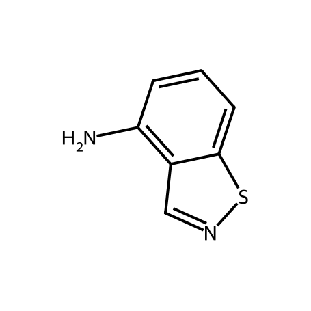 Nc1cccc2sncc12